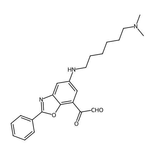 CN(C)CCCCCCNc1cc(C(=O)C=O)c2oc(-c3ccccc3)nc2c1